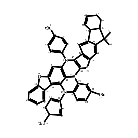 CC(C)(C)c1ccc(N2c3cc4oc5ccccc5c4c4c3B(c3cc(C(C)(C)C)ccc3N4C3=CCC(C(C)(C)C)C=C3)c3sc4cc5c(cc4c32)C2C=CCCC2C5(C)C)cc1